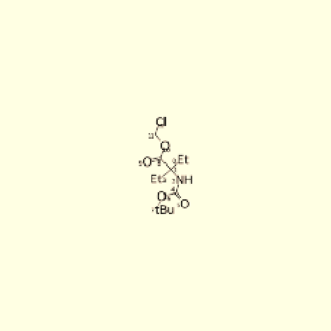 CCC(CC)(NC(=O)OC(C)(C)C)C(=O)OCCl